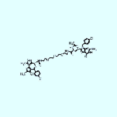 CC(=O)N[C@@H](CSc1nc2c(=O)[nH]c(N)nc2n1Cc1ccc(Cl)cc1)C(=O)NCCOCCOCCOCCNC(=O)C[C@@H]1N=C(c2ccc(Cl)cc2)c2c(sc(C)c2C)-n2c(C)nnc21